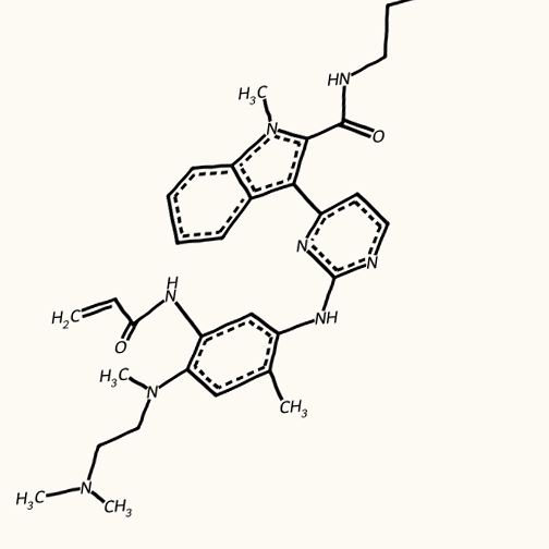 C=CC(=O)Nc1cc(Nc2nccc(-c3c(C(=O)NCCOC)n(C)c4ccccc34)n2)c(C)cc1N(C)CCN(C)C